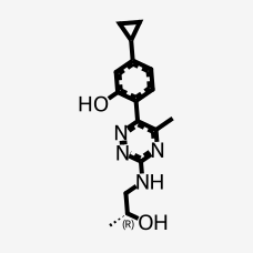 Cc1nc(NC[C@@H](C)O)nnc1-c1ccc(C2CC2)cc1O